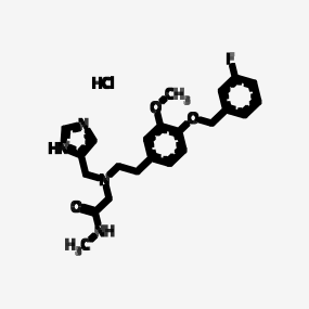 CNC(=O)CN(CCc1ccc(OCc2cccc(F)c2)c(OC)c1)Cc1cnc[nH]1.Cl